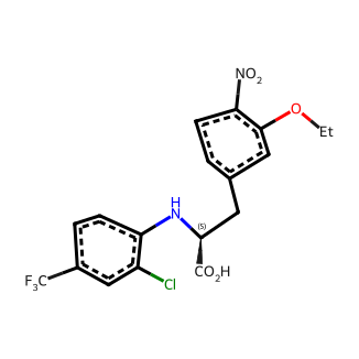 CCOc1cc(C[C@H](Nc2ccc(C(F)(F)F)cc2Cl)C(=O)O)ccc1[N+](=O)[O-]